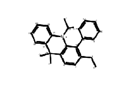 CCc1ccc2c(c1-c1ccccc1)N(C(C)C)c1ccccc1C2(C)C